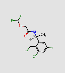 [2H][C@@](C)(NC(=O)COC(F)F)c1cc(F)cc(Cl)c1CCl